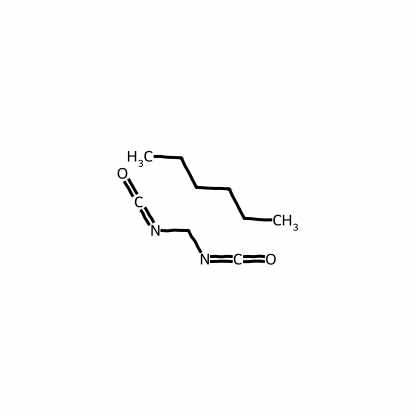 CCCCCC.O=C=NCN=C=O